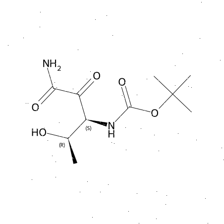 C[C@@H](O)[C@H](NC(=O)OC(C)(C)C)C(=O)C(N)=O